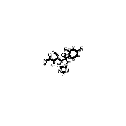 C=N/C(=C(F)\C(Cl)=N/C)C(C)C(O)(Cn1cncn1)c1ccc(F)cc1F